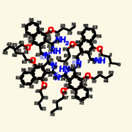 CCCCOc1c(C=N)c(/C=N/c2[nH]c(/N=C3N=C(/N=C/c4c(C(=N)N)c(OCCCC)c5ccccc5c4OCCCC)c4c\3c(OCCCC)c3ccccc3c4OCCCC)c3c(OCCCC)c4ccccc4c(OCCCC)c23)c(OCCCC)c2ccccc12